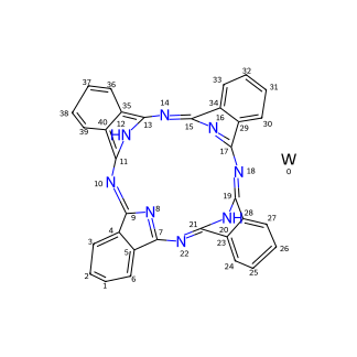 [W].c1ccc2c(c1)-c1nc-2nc2[nH]c(nc3nc(nc4[nH]c(n1)c1ccccc41)-c1ccccc1-3)c1ccccc21